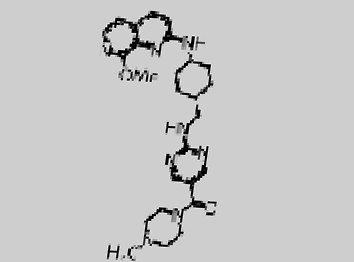 COc1nccc2ccc(N[C@H]3CC[C@H](CNc4ncc(C(=O)N5CCN(C)CC5)cn4)CC3)nc12